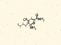 CCCCc1c(Cl)cc(C(N)=O)nc1N